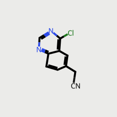 N#CCc1ccc2ncnc(Cl)c2c1